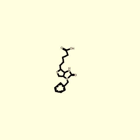 O=C(O)CCCCC1SCC2C1NC(=O)N2Cc1ccccc1